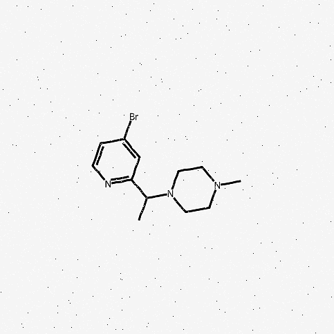 CC(c1cc(Br)ccn1)N1CCN(C)CC1